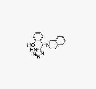 Oc1ccccc1C(c1nnn[nH]1)N1CCc2ccccc2C1